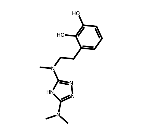 CN(C)c1nnc(N(C)CCc2cccc(O)c2O)[nH]1